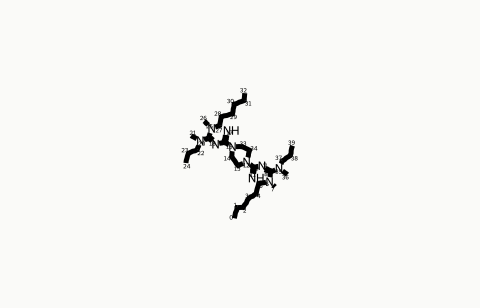 CCCCCCN(C)/C(=N\C(=N)N1CCN(C(=N)/N=C(/N(C)CCC)N(C)CCCCCC)CC1)N(C)CCC